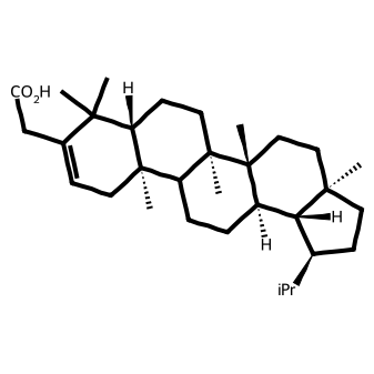 CC(C)[C@@H]1CC[C@]2(C)CC[C@]3(C)[C@H](CCC4[C@@]5(C)CC=C(CC(=O)O)C(C)(C)[C@@H]5CC[C@]43C)[C@@H]12